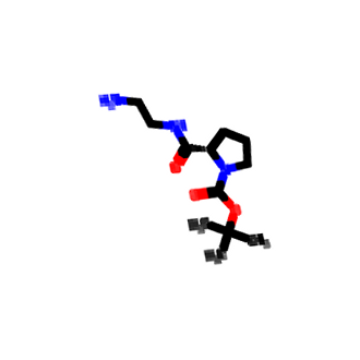 CC(C)(C)OC(=O)N1CCC[C@H]1C(=O)NCCN